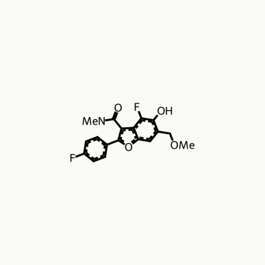 CNC(=O)c1c(-c2ccc(F)cc2)oc2cc(COC)c(O)c(F)c12